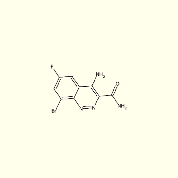 NC(=O)c1nnc2c(Br)cc(F)cc2c1N